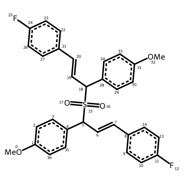 COc1ccc(C(/C=C/c2ccc(F)cc2)S(=O)(=O)C(/C=C/c2ccc(F)cc2)c2ccc(OC)cc2)cc1